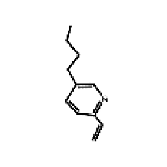 C=Cc1ccc(CCCC)cn1